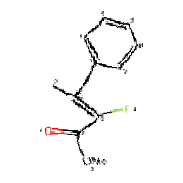 COC(=O)/C(F)=C(\C)c1ccccc1